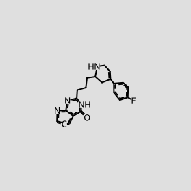 O=c1[nH]c(CCCC2CC(c3ccc(F)cc3)=CCN2)nc2ncccc12